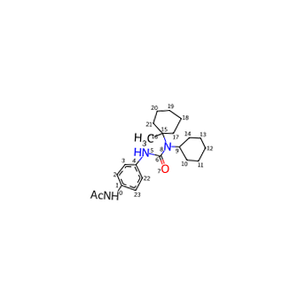 CC(=O)Nc1ccc(NC(=O)N(C2CCCCC2)C2(C)CCCCC2)cc1